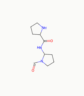 O=[C]N1CCCC1NC(=O)C1CCCN1